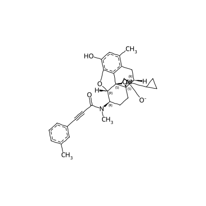 Cc1cccc(C#CC(=O)N(C)[C@@H]2CC[C@@]3(O)[C@H]4Cc5c(C)cc(O)c6c5[C@@]3(CC[N+]4([O-])C3CC3)[C@H]2O6)c1